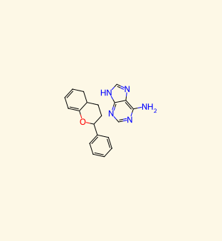 C1=CCC2CCC(c3ccccc3)OC2=C1.Nc1ncnc2[nH]cnc12